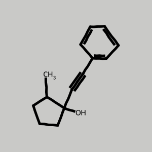 CC1CCCC1(O)C#Cc1ccccc1